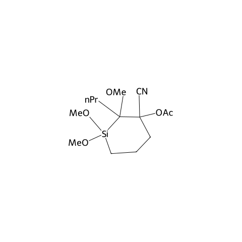 CCCC1(OC)C(C#N)(OC(C)=O)CCC[Si]1(OC)OC